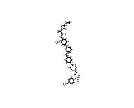 Cc1ccc(S(=O)(=O)OCC2CCN(c3ccc(Nc4nccc(-c5ccc(CNC(=O)N6CC(OC(C)C)C6)c(C)c5)n4)cn3)CC2)cc1